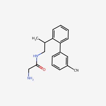 CC(CNC(=O)CN)c1ccccc1-c1cccc(C#N)c1